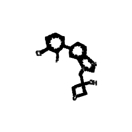 OC1(Cn2cnc3ccc(-c4cccc(Cl)c4F)cc32)COC1